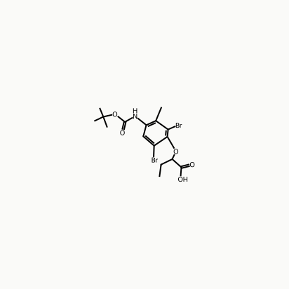 CCC(Oc1c(Br)cc(NC(=O)OC(C)(C)C)c(C)c1Br)C(=O)O